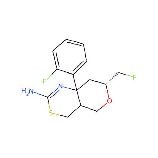 NC1=NC2(c3ccccc3F)C[C@H](CF)OCC2CS1